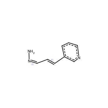 N/N=C\C=C\c1cccnc1